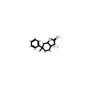 C[C@H]1C(=O)OC2CC(C)(c3ccccc3)CCC21